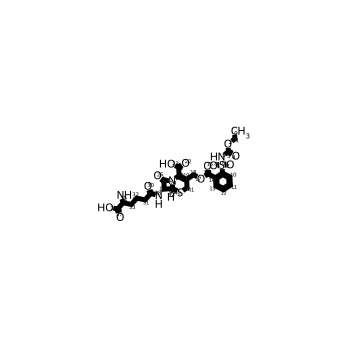 CCOC(=O)NS(=O)(=O)c1ccccc1C(=O)OCC1=C(C(=O)O)N2C(=O)[C@@H](NC(=O)CCCC(N)C(=O)O)[C@@H]2SC1